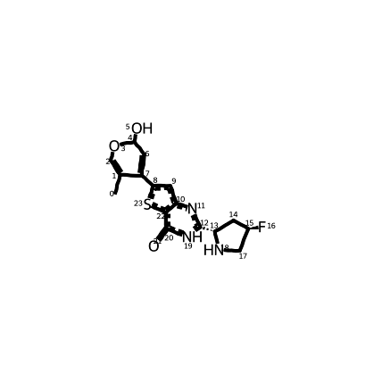 CC1=COC(O)C=C1c1cc2nc([C@@H]3C[C@@H](F)CN3)[nH]c(=O)c2s1